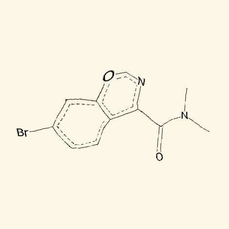 CN(C)C(=O)c1noc2cc(Br)ccc12